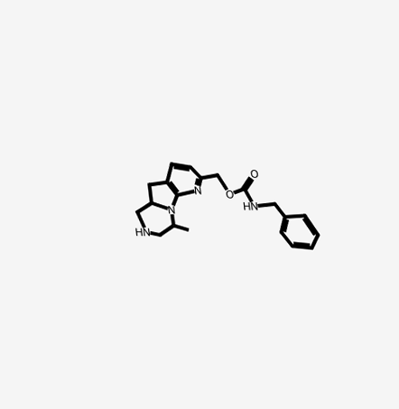 CC1CNCC2Cc3ccc(COC(=O)NCc4ccccc4)nc3N12